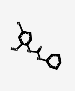 COc1cc(Cl)ccc1NC(=S)Nc1ccccc1